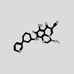 C[C@H]1COc2c(NC3CCCC(c4cccnc4)C3)c(F)c(N)c3c(=O)c(C#N)cn1c23